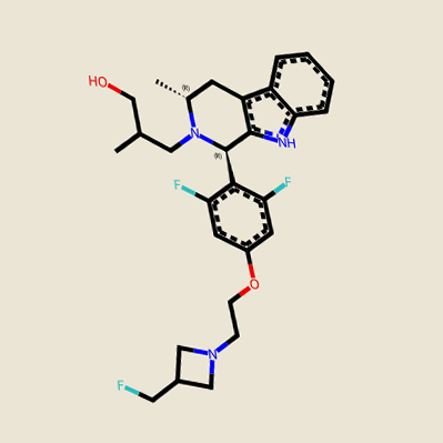 CC(CO)CN1[C@H](c2c(F)cc(OCCN3CC(CF)C3)cc2F)c2[nH]c3ccccc3c2C[C@H]1C